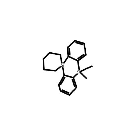 C[Si]1(C)c2ccccc2[Si]2(CCCCC2)c2ccccc21